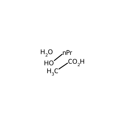 CC(=O)O.CCCO.O